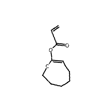 C=CC(=O)OC1=CCCCCCC1